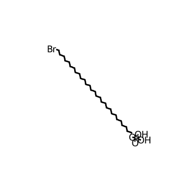 O=P(O)(O)OCCCCCCCCCCCCCCCCCCCCCCCCCCCCCBr